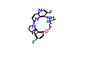 C[C@H]1CCOc2ccc(F)cc2[C@H]2CCCN2c2ccc3ncc(F)c(c3n2)N1